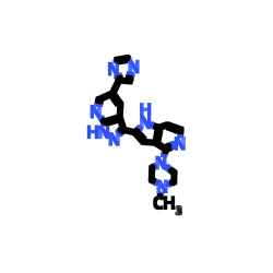 CN1CCN(c2nccc3[nH]c(-c4n[nH]c5ncc(-c6cnccn6)cc45)cc23)CC1